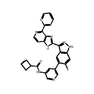 O=C(Nc1cncc(-c2cc3c(-c4nc5c(-c6ccccn6)nccc5[nH]4)n[nH]c3cc2F)c1)C1CCC1